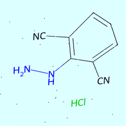 Cl.N#Cc1cccc(C#N)c1NN